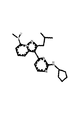 CC(C)Cc1nn2c([S+](C)[O-])cccc2c1-c1ccnc(NC2CCCC2)n1